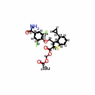 CC(C)(C)C(=O)OCOC(=O)c1sc2cccc(C3CC3)c2c1COc1c(F)cc(C(N)=O)cc1F